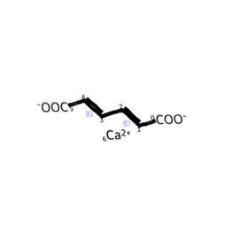 O=C([O-])/C=C/C=C/C(=O)[O-].[Ca+2]